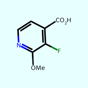 COc1nccc(C(=O)O)c1F